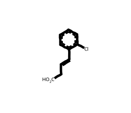 O=C(O)C/C=C/c1ccccc1Cl